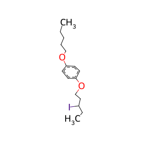 CCCCCOc1ccc(OCCC(I)CC)cc1